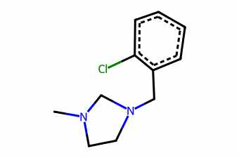 CN1CCN(Cc2ccccc2Cl)C1